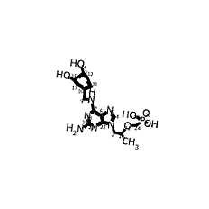 CC(Cn1cnc2c(NCc3ccc(O)c(O)c3)nc(N)nc21)OCP(=O)(O)O